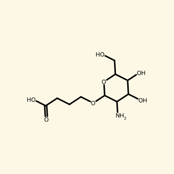 NC1C(OCCCC(=O)O)OC(CO)C(O)C1O